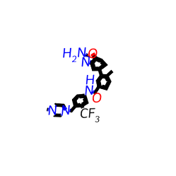 Cc1ccc(C(=O)Nc2ccc(CN3CCN(C)CC3)c(C(F)(F)F)c2)cc1-c1ccc2oc(N)nc2c1